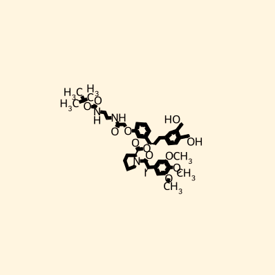 COc1cc([C@H](I)C(=O)N2CCCC[C@H]2C(=O)O[C@H](CCc2ccc(CO)c(CO)c2)c2cccc(OCC(=O)NCCNC(=O)OC(C)(C)C)c2)cc(OC)c1OC